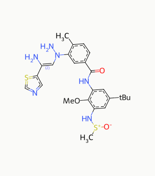 COc1c(NC(=O)c2ccc(C)c(N(N)/C=C(\N)c3cncs3)c2)cc(C(C)(C)C)cc1N[S+](C)[O-]